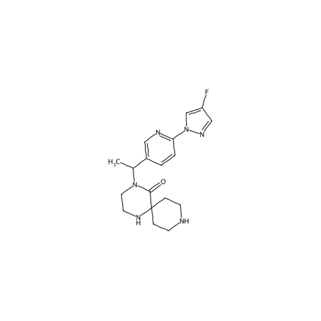 CC(c1ccc(-n2cc(F)cn2)nc1)N1CCNC2(CCNCC2)C1=O